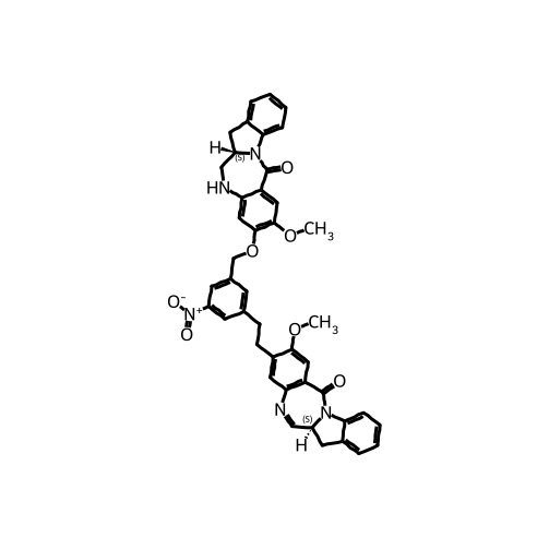 COc1cc2c(cc1CCc1cc(COc3cc4c(cc3OC)C(=O)N3c5ccccc5C[C@H]3CN4)cc([N+](=O)[O-])c1)N=C[C@@H]1Cc3ccccc3N1C2=O